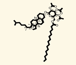 CCCCCCCCCCCCCCCC(=O)OC[C@H]1O[C@@H](O[C@H]2CC[C@@]3(C)C(=CC[C@H]4[C@@H]5CC[C@H]([C@H](C)CCCC(C)C)[C@@]5(C)CC[C@@H]43)C2)[C@H](OC(C)=O)[C@@H](OC(C)=O)[C@H]1OC(C)=O